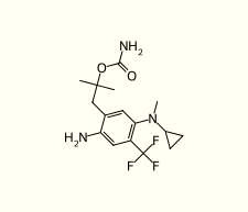 CN(c1cc(CC(C)(C)OC(N)=O)c(N)cc1C(F)(F)F)C1CC1